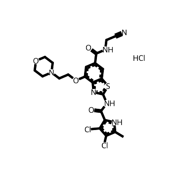 Cc1[nH]c(C(=O)Nc2nc3c(OCCN4CCOCC4)cc(C(=O)NCC#N)cc3s2)c(Cl)c1Cl.Cl